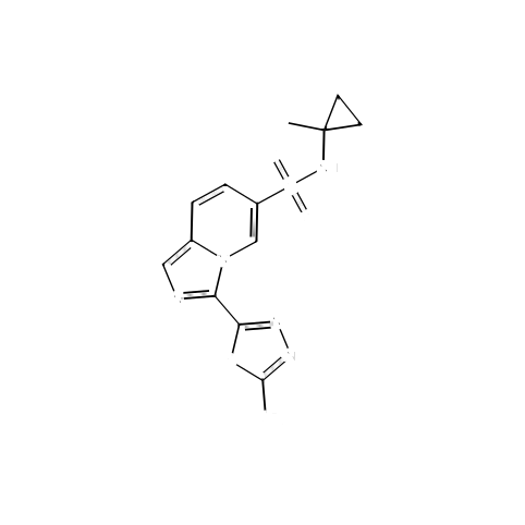 CC1(NS(=O)(=O)c2ccc3cnc(-c4nnc(C(F)(F)F)s4)n3c2)CC1